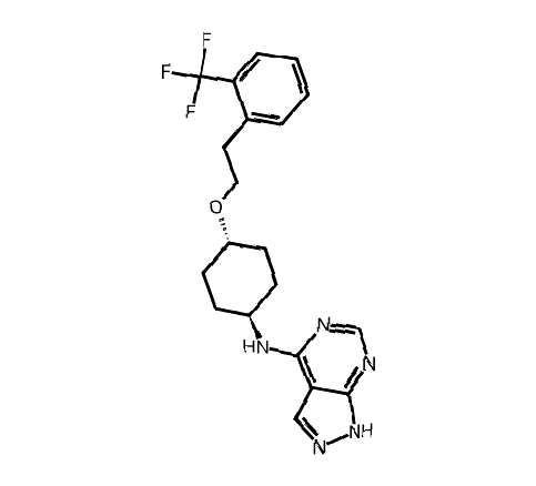 FC(F)(F)c1ccccc1CCO[C@H]1CC[C@H](Nc2ncnc3[nH]ncc23)CC1